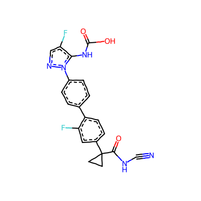 N#CNC(=O)C1(c2ccc(-c3ccc(-n4ncc(F)c4NC(=O)O)cc3)c(F)c2)CC1